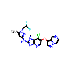 Cn1c(Nc2cc(C(C)(C)C)n(CC(F)F)n2)nc2ncc(Oc3cnn4ccncc34)c(Cl)c21